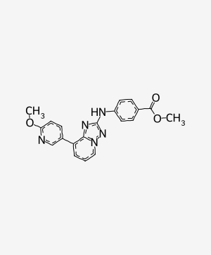 COC(=O)c1ccc(Nc2nc3c(-c4ccc(OC)nc4)cccn3n2)cc1